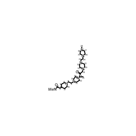 CNC(=O)CC1CCN(CCN2CCN(N(C)C(=O)CN3CCN(CCN4CCN(C)CC4)CC3)CC2)CC1